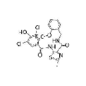 Cc1nc(C(=O)NCc2ccccc2OC(F)(F)F)c(NC(=O)c2cc(Cl)c(O)c(Cl)c2)s1